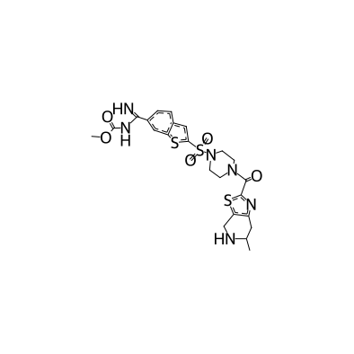 COC(=O)NC(=N)c1ccc2cc(S(=O)(=O)N3CCN(C(=O)c4nc5c(s4)CNC(C)C5)CC3)sc2c1